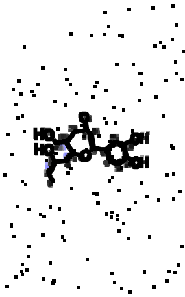 C\C=C(O)/C=C1/OC(c2ccc(O)c(O)c2)=CC(=O)C/C1=C\O